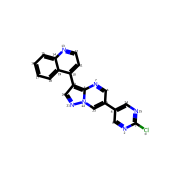 Clc1ncc(-c2cnc3c(-c4ccnc5ccccc45)cnn3c2)cn1